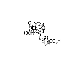 C#CCOc1cc(-n2nc(C(C)(C)C)oc2=O)c(Cl)cc1Cl.CP(=O)(O)CCC(N)C(=O)O.Nc1c([N+](=O)[O-])ccc(Oc2ccccc2)c1Cl